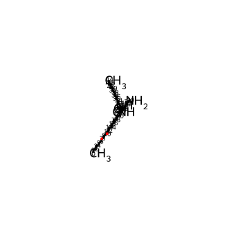 CCCCCCCCCCCCCCCCCCCCCC(=O)NC(CCCCN)C(=O)NCCCCCCCCCCCC